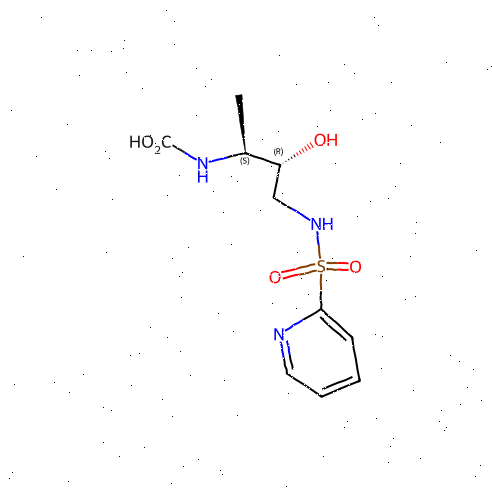 C[C@H](NC(=O)O)[C@H](O)CNS(=O)(=O)c1ccccn1